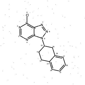 Clc1ncnc2c1nnn2C1CCc2ccccc2C1